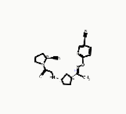 C/C(=N\Oc1ccc(C#N)cn1)[C@@H]1CC[C@H](NCC(=O)N2CCC[C@H]2C#N)C1